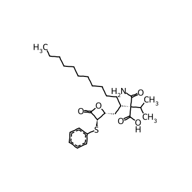 CCCCCCCCCCCC(C[C@H]1OC(=O)[C@@H]1Sc1ccccc1)[C@@](C(N)=O)(C(=O)O)C(C)C